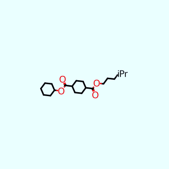 CC(C)CCCOC(=O)C1CCC(C(=O)OC2CCCCC2)CC1